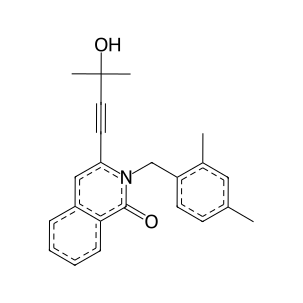 Cc1ccc(Cn2c(C#CC(C)(C)O)cc3ccccc3c2=O)c(C)c1